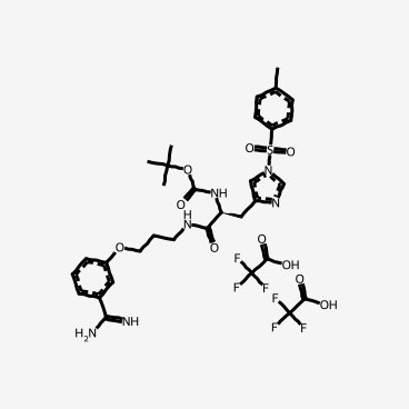 Cc1ccc(S(=O)(=O)n2cnc(C[C@H](NC(=O)OC(C)(C)C)C(=O)NCCCOc3cccc(C(=N)N)c3)c2)cc1.O=C(O)C(F)(F)F.O=C(O)C(F)(F)F